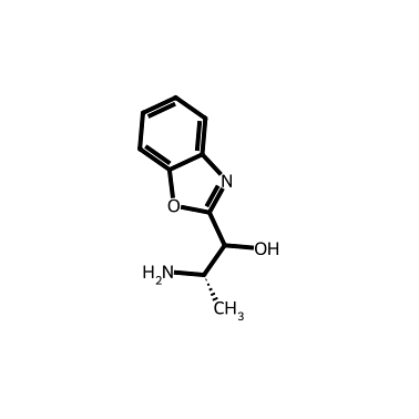 C[C@H](N)C(O)c1nc2ccccc2o1